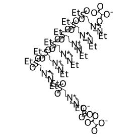 CCn1cc[n+](CCS(=O)(=O)CC)c1.CCn1cc[n+](CCS(=O)(=O)CC)c1.CCn1cc[n+](CCS(=O)(=O)CC)c1.CCn1cc[n+](CCS(=O)(=O)CC)c1.CCn1cc[n+](CCS(=O)(=O)CC)c1.CCn1cc[n+](CCS(=O)(=O)CC)c1.CCn1cc[n+](CCS(=O)(=O)CC)c1.O=C([O-])C(=O)[O-].O=C([O-])C(=O)[O-].[O-]B([O-])[O-]